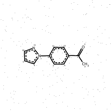 CC(=O)c1ccc(-n2cccn2)cc1